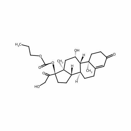 CCCOC(=O)O[C@]1(C(=O)CO)CC[C@H]2[C@@H]3CCC4=CC(=O)CC[C@]4(C)[C@H]3[C@@H](O)C[C@@]21C